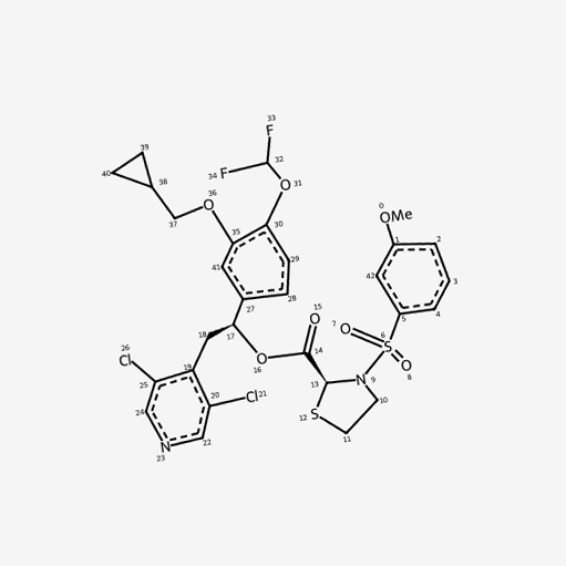 COc1cccc(S(=O)(=O)N2CCS[C@H]2C(=O)O[C@@H](Cc2c(Cl)cncc2Cl)c2ccc(OC(F)F)c(OCC3CC3)c2)c1